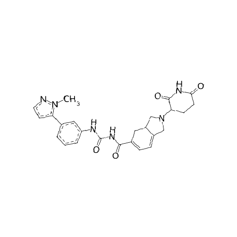 Cn1nccc1-c1cccc(NC(=O)NC(=O)C2=CC=C3CN(C4CCC(=O)NC4=O)CC3C2)c1